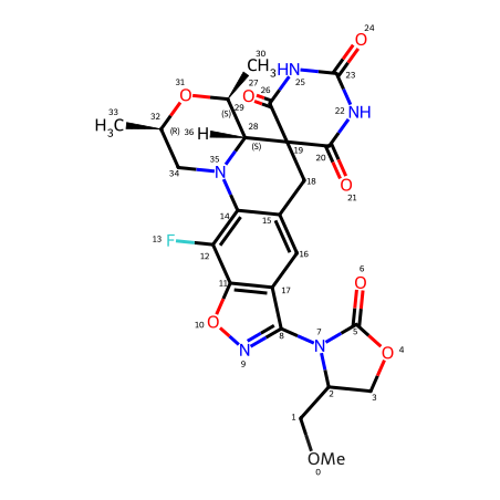 COCC1COC(=O)N1c1noc2c(F)c3c(cc12)CC1(C(=O)NC(=O)NC1=O)[C@H]1[C@H](C)O[C@H](C)CN31